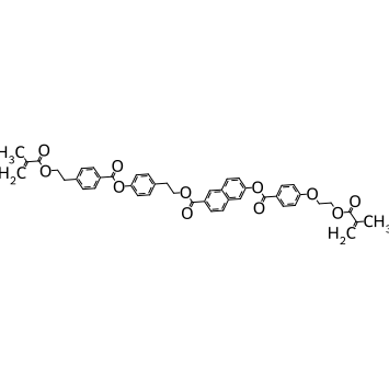 C=C(C)C(=O)OCCOc1ccc(C(=O)Oc2ccc3cc(C(=O)OCCc4ccc(OC(=O)c5ccc(CCOC(=O)C(=C)C)cc5)cc4)ccc3c2)cc1